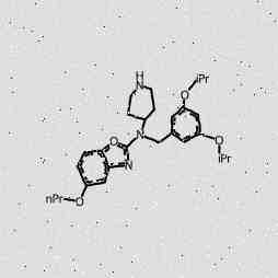 CCCOc1ccc2oc(N(Cc3cc(OC(C)C)cc(OC(C)C)c3)C3CCNCC3)nc2c1